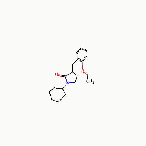 CCOc1ccccc1CC1CCN(C2CCCCC2)C1=O